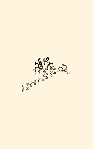 CC(Cc1oc2ccccc2c1C(=O)c1ccccc1)(C(=O)O)C(=O)O.CCCCCCCCCCCCCCCCCCCCC(CC)C(=O)OCC